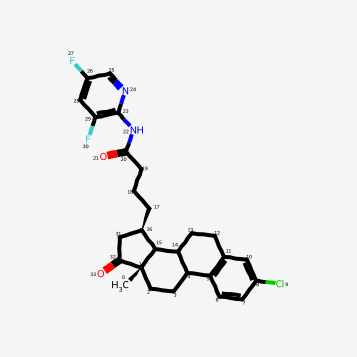 C[C@]12CCC3c4ccc(Cl)cc4CCC3C1[C@H](CCCC(=O)Nc1ncc(F)cc1F)CC2=O